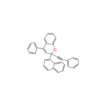 C(#CC1(c2cccc3ccccc23)C=C(c2ccccc2)c2ccccc2O1)c1ccccc1